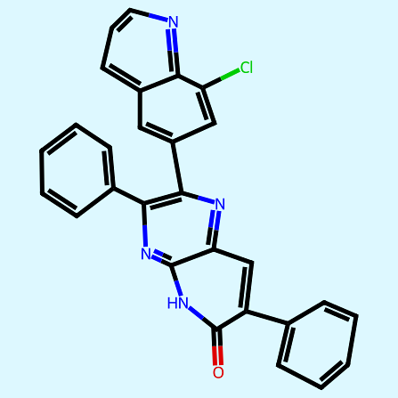 O=c1[nH]c2nc(-c3ccccc3)c(-c3cc(Cl)c4ncccc4c3)nc2cc1-c1ccccc1